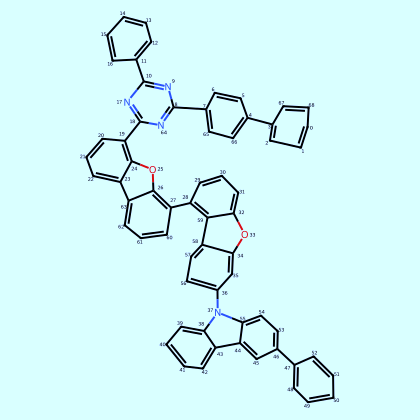 c1ccc(-c2ccc(-c3nc(-c4ccccc4)nc(-c4cccc5c4oc4c(-c6cccc7oc8cc(-n9c%10ccccc%10c%10cc(-c%11ccccc%11)ccc%109)ccc8c67)cccc45)n3)cc2)cc1